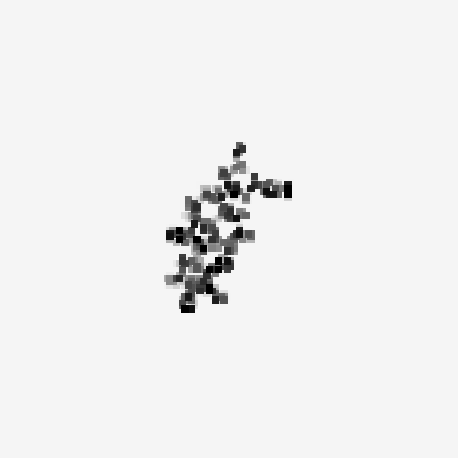 CCCN(CCO)c1ccc2c3c(cccc13)N(C1CCC(=O)N(I)C1=O)C2=O